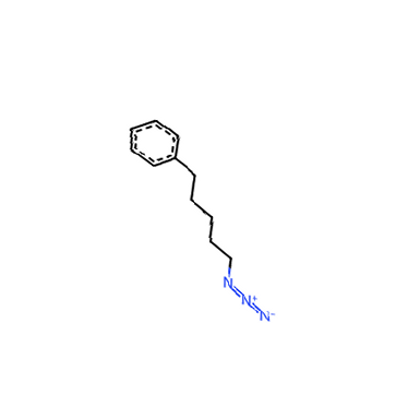 [N-]=[N+]=NCCCCCc1ccccc1